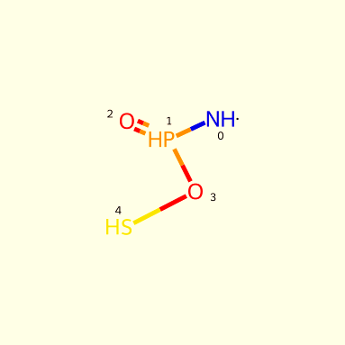 [NH][PH](=O)OS